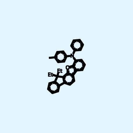 CCC1(CC)c2ccccc2-c2ccc3c(oc4c(N(c5ccccc5)c5ccc(C)cc5)cccc43)c21